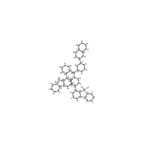 CC1(C)c2ccccc2-c2cccc(-c3ccc(N(c4cccc(-c5ccc6ccccc6c5)c4)c4ccccc4-c4cccc5c4oc4ccccc45)cc3)c21